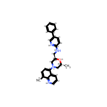 C[C@@H]1CN(c2ccc(C#N)c3ncccc23)C[C@@H](CNc2ccc(-c3ccccc3)cn2)O1